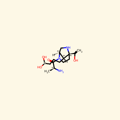 C=C(O)[C@]12CCN(C(=O)[C@H](C)N)[C@@H](CN1)[C@H]2CCCB(O)O